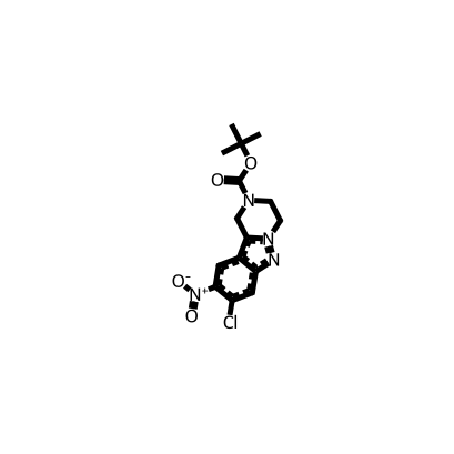 CC(C)(C)OC(=O)N1CCn2nc3cc(Cl)c([N+](=O)[O-])cc3c2C1